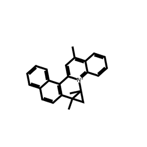 Cc1cc2[n+](c3ccccc13)C1(C)CC1(C)c1ccc3ccccc3c1-2